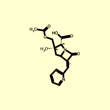 CC(=O)OC[C@]1(C)CC2/C(=C\c3ccccn3)C(=O)N2[C@H]1C(=O)O